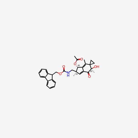 CC(=O)O[C@@H]1C2=C(C)C3(CC3)[C@@](C)(O)C(=O)C2=C[C@@]1(C)CNC(=O)OCC1c2ccccc2-c2ccccc21